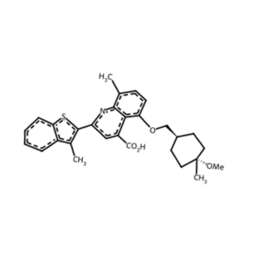 CO[C@]1(C)CC[C@@H](COc2ccc(C)c3nc(-c4sc5ccccc5c4C)cc(C(=O)O)c23)CC1